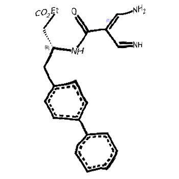 CCOC(=O)C[C@@H](Cc1ccc(-c2ccccc2)cc1)NC(=O)/C(C=N)=C/N